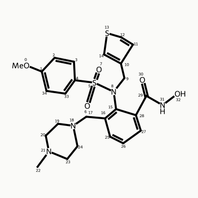 COc1ccc(S(=O)(=O)N(Cc2ccsc2)c2c(CN3CCN(C)CC3)cccc2C(=O)NO)cc1